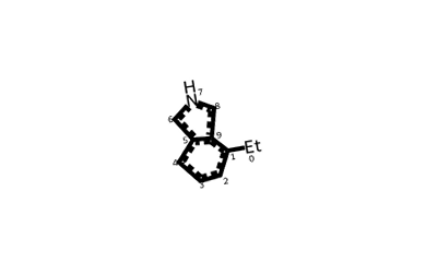 CCc1cccc2c[nH]cc12